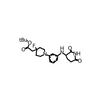 CC(C)(C)OC(=O)CC1(F)CCN(c2cccc(NC3CCC(=O)NC3=O)c2)CC1